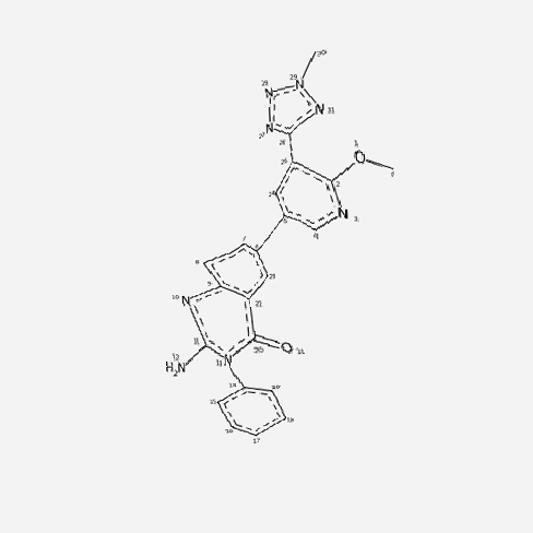 COc1ncc(-c2ccc3nc(N)n(-c4ccccc4)c(=O)c3c2)cc1-c1nnn(C)n1